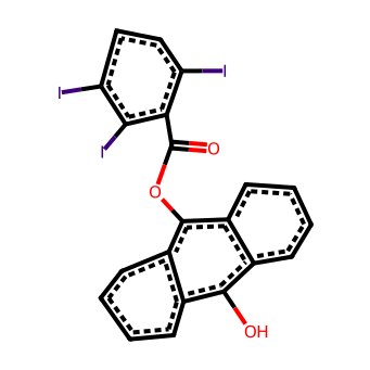 O=C(Oc1c2ccccc2c(O)c2ccccc12)c1c(I)ccc(I)c1I